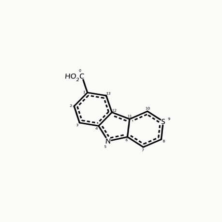 O=C(O)c1ccc2nc3ccscc-3c2c1